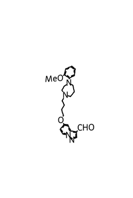 COc1ccccc1N1CCCN(CCCCOc2ccn3ncc(C=O)c3c2)CC1